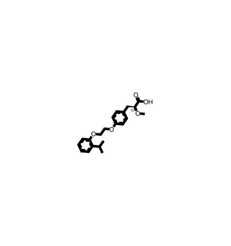 CO[C@@H](Cc1ccc(OCCOc2ccccc2C(C)C)cc1)C(=O)O